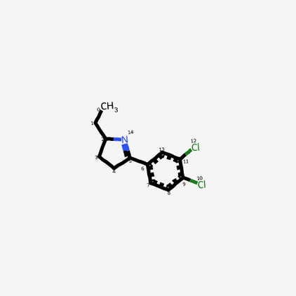 CCC1CCC(c2ccc(Cl)c(Cl)c2)=N1